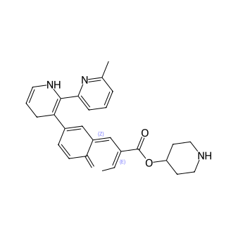 C=c1ccc(C2=C(c3cccc(C)n3)NC=CC2)c/c1=C/C(=C\C)C(=O)OC1CCNCC1